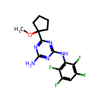 COC1(c2nc(N)nc(Nc3c(F)c(F)cc(F)c3F)n2)CCCC1